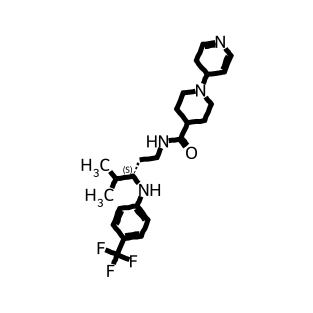 CC(C)[C@H](CCNC(=O)C1CCN(C2C=CN=CC2)CC1)Nc1ccc(C(F)(F)F)cc1